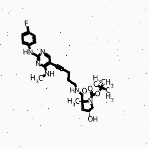 CNc1nc(Nc2ccc(F)cc2)ncc1C#CCCCNC(=O)[C@]1(C)C[C@@H](O)CN1C(=O)OC(C)(C)C